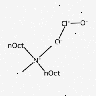 CCCCCCCC[N+](C)(C)CCCCCCCC.[O-][Cl+][O-]